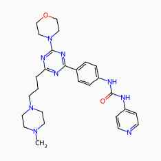 CN1CCN(CCCc2nc(-c3ccc(NC(=O)Nc4ccncc4)cc3)nc(N3CCOCC3)n2)CC1